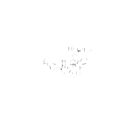 CCOc1ccc([C@H](CC(=O)O)NC(=O)c2cc(OC[C@@H](O)C(C)(C)C)n(-c3ccccc3F)n2)cc1